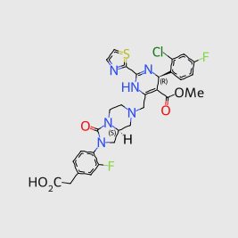 COC(=O)C1=C(CN2CCN3C(=O)N(c4ccc(CC(=O)O)cc4F)C[C@@H]3C2)NC(c2nccs2)=N[C@H]1c1ccc(F)cc1Cl